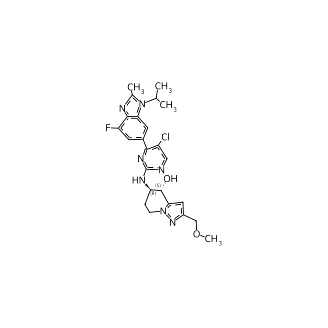 COCc1cc2n(n1)CC[C@@H](Nc1ncc(Cl)c(-c3cc(F)c4nc(C)n(C(C)C)c4c3)n1)[C@@H]2O